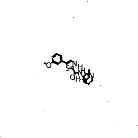 COc1cccc(-c2cnc(C(=O)N[C@@H]3C4CCN(CC4)[C@H]3C)s2)c1